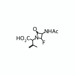 C=C(C)C(C(=O)O)N1C(=O)C(NC(C)=O)C1F